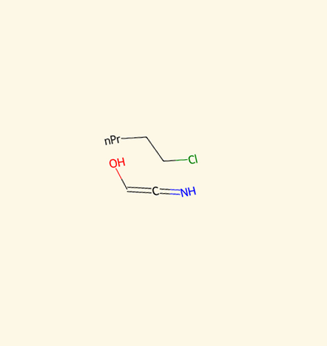 CCCCCCl.N=C=CO